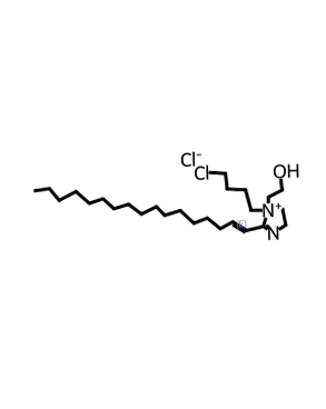 CCCCCCCCCCCCCCC/C=C/C1=NCC[N+]1(CCO)CCCCCl.[Cl-]